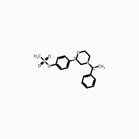 C[C@@H](c1ccccc1)N1CCO[C@H](c2ccc(OS(C)(=O)=O)cc2)C1